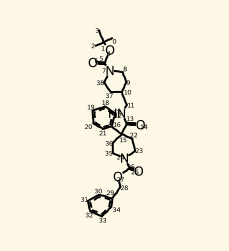 CC(C)(C)OC(=O)N1CCC(CNC(=O)C2(c3ccccc3)CCN(C(=O)OCc3ccccc3)CC2)CC1